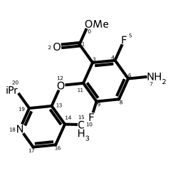 COC(=O)c1c(F)c(N)cc(F)c1Oc1c(C)ccnc1C(C)C